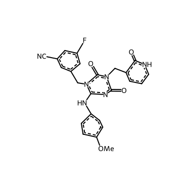 COc1ccc(Nc2nc(=O)n(Cc3ccc[nH]c3=O)c(=O)n2Cc2cc(F)cc(C#N)c2)cc1